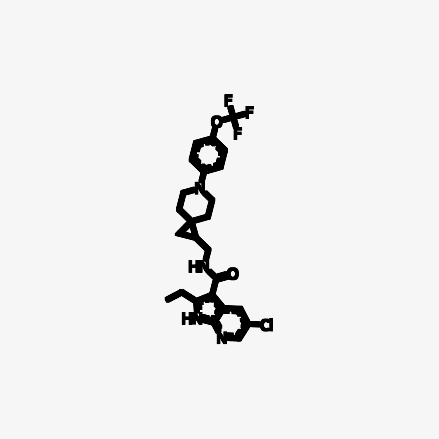 CCc1[nH]c2ncc(Cl)cc2c1C(=O)NCC1CC12CCN(c1ccc(OC(F)(F)F)cc1)CC2